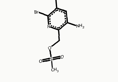 CS(=O)(=O)OCc1nc(Br)c(F)cc1N